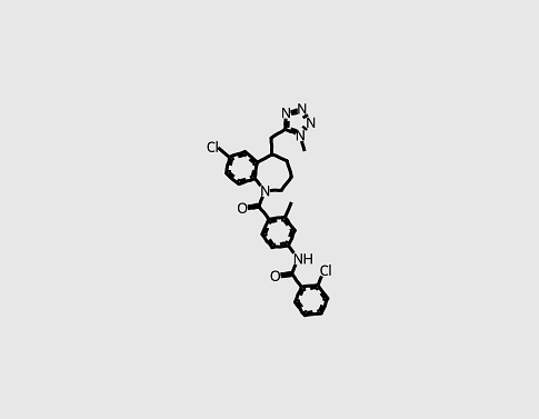 Cc1cc(NC(=O)c2ccccc2Cl)ccc1C(=O)N1CCCC(Cc2nnnn2C)c2cc(Cl)ccc21